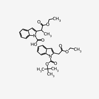 CCOC(=O)C(C)c1cc2ccccc2n1C(=O)O.CCOC(=O)Cc1cc2ccccc2n1C(=O)OC(C)(C)C